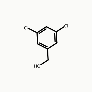 O[CH]c1cc(Cl)cc(Cl)c1